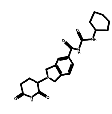 O=C1CCC(N2Cc3ccc(C(=O)NC(=O)NC4CCCCC4)cc3C2)C(=O)N1